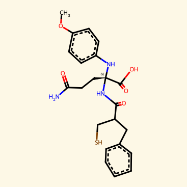 COc1ccc(N[C@@](CCC(N)=O)(NC(=O)C(CS)Cc2ccccc2)C(=O)O)cc1